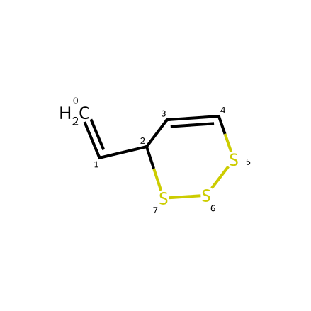 C=CC1C=CSSS1